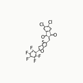 O=C1C(=Cc2cc3oc(-c4c(F)c(F)c(F)c(F)c4F)cc3s2)C(=O)c2cc(Cl)c(Cl)cc21